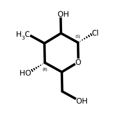 CC1C(O)[C@H](Cl)OC(CO)[C@@H]1O